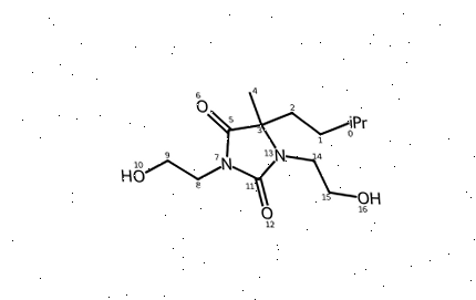 CC(C)CCC1(C)C(=O)N(CCO)C(=O)N1CCO